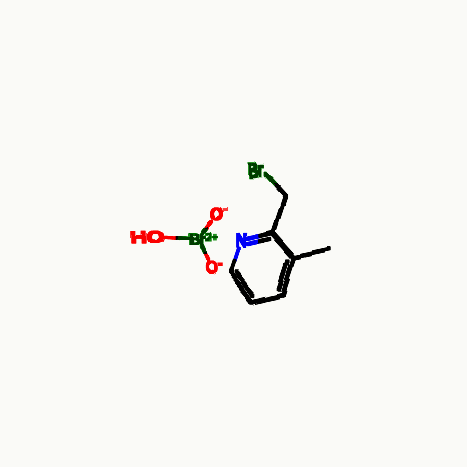 Cc1cccnc1CBr.[O-][Br+2]([O-])O